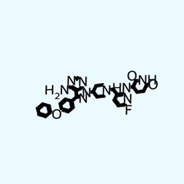 Nc1ncnc2c1c(-c1ccc(Oc3ccccc3)cc1)nn2C1CCN(Cc2ccc(F)nc2NC2CCC(=O)NC2=O)CC1